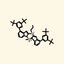 CCC[Si]1(C)C2=Cc3c(-c4cc(C(C)(C)C)cc(C(C)(C)C)c4)cccc3[CH]2[Hf]([CH3])([CH3])[CH]2C1=Cc1c(-c3cc(C(C)(C)C)cc(C(C)(C)C)c3)cccc12